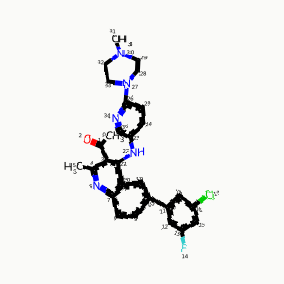 CC(=O)c1c(C)nc2ccc(-c3cc(F)cc(Cl)c3)cc2c1Nc1ccc(N2CCN(C)CC2)nc1